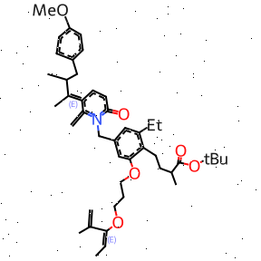 C=C(C)/C(=C\C)OCCCOc1cc(Cn2c(=O)cc/c(=C(/C)C(C)Cc3ccc(OC)cc3)c2=C)cc(CC)c1CCC(C)C(=O)OC(C)(C)C